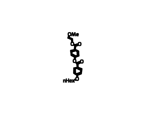 CCCCCCOc1ccc(C(=O)Oc2ccc(C(=O)OCCOC)cc2)cc1